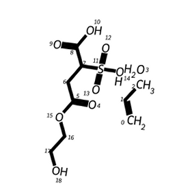 C=CC.O.O=C(CC(C(=O)O)S(=O)(=O)O)OCCO